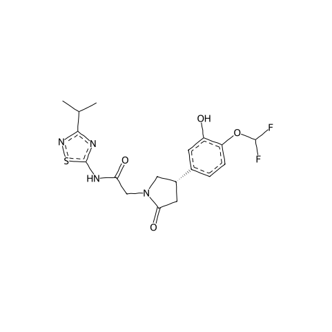 CC(C)c1nsc(NC(=O)CN2C[C@H](c3ccc(OC(F)F)c(O)c3)CC2=O)n1